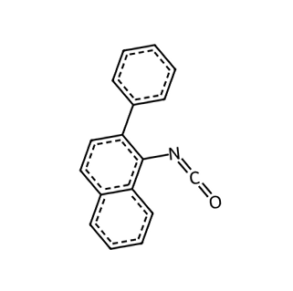 O=C=Nc1c(-c2ccccc2)ccc2ccccc12